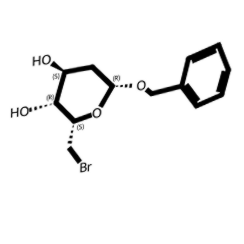 O[C@@H]1[C@@H](O)C[C@H](OCc2ccccc2)O[C@@H]1CBr